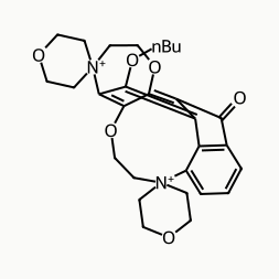 CCCCOc1c2c3c4c(c1[N+]1(CCOCC1)CCO4)OCC[N+]1(CCOCC1)c1cccc(c1-2)C3=O